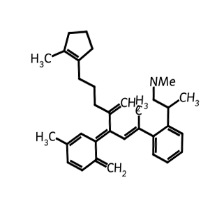 C=C(CCCC1=C(C)CCC1)C(/C=C(\C)c1ccccc1C(C)CNC)=c1\cc(C)ccc1=C